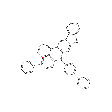 c1ccc(-c2ccc(N(c3ccc(-c4ccccc4)cc3)c3cc4oc5ccccc5c4cc3-c3ccccc3)cc2)cc1